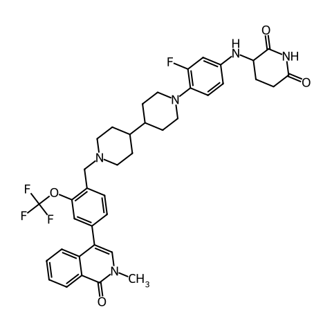 Cn1cc(-c2ccc(CN3CCC(C4CCN(c5ccc(NC6CCC(=O)NC6=O)cc5F)CC4)CC3)c(OC(F)(F)F)c2)c2ccccc2c1=O